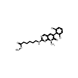 Cn1c(=O)c(-c2c(Cl)cccc2Cl)cc2cnc(NCCCCCC(=O)OC(C)(C)C)nc21